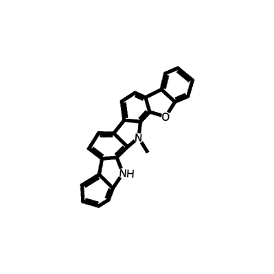 Cn1c2c(ccc3c4ccccc4[nH]c32)c2ccc3c4ccccc4oc3c21